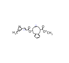 CCOC(=O)C1C/C=C\CC(OC(=O)/C=C/c2cn(C)cn2)Cc2ccccc2C1